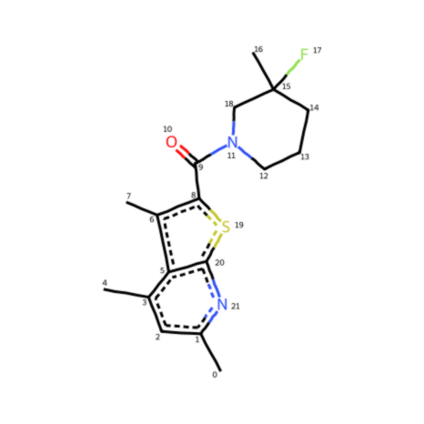 Cc1cc(C)c2c(C)c(C(=O)N3CCCC(C)(F)C3)sc2n1